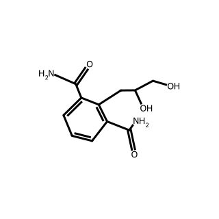 NC(=O)c1cccc(C(N)=O)c1CC(O)CO